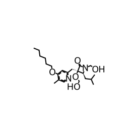 CCCCCCOc1cc(C[C@]2(OCO)C(=O)N(CO)[C@H]2CC(C)C)ncc1C